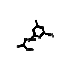 COC(N)=O.COc1cc(C)nc(N)n1